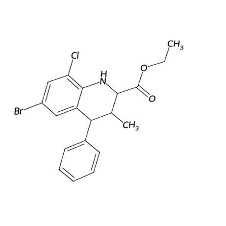 CCOC(=O)C1Nc2c(Cl)cc(Br)cc2C(c2ccccc2)C1C